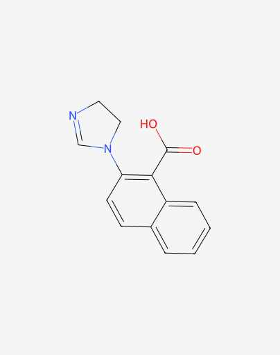 O=C(O)c1c(N2C=NCC2)ccc2ccccc12